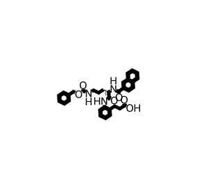 O=C(O)CCc1ccccc1NC(=O)[C@H](CCCNC(=O)OCc1ccccc1)NC(=O)c1ccc2ccccc2c1